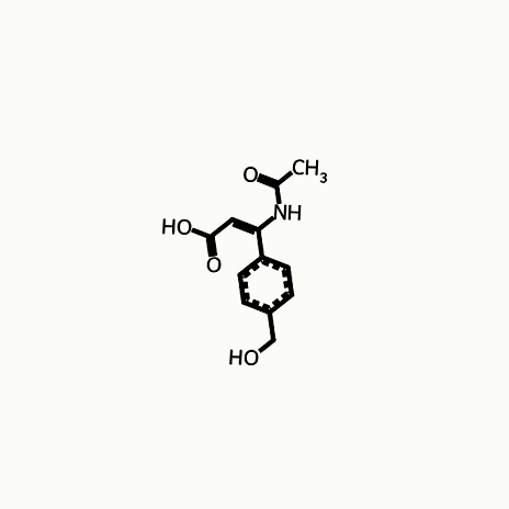 CC(=O)N/C(=C/C(=O)O)c1ccc(CO)cc1